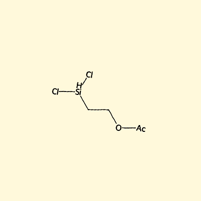 CC(=O)OCC[SiH](Cl)Cl